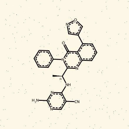 C[C@H](Nc1nc(N)ncc1C#N)c1nc2cccc(-c3cnoc3)c2c(=O)n1-c1ccccc1